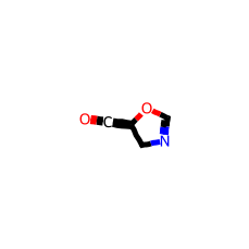 O=C=C1CN=CO1